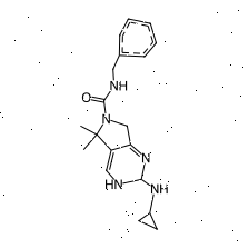 CC1(C)C2=CNC(NC3CC3)N=C2CN1C(=O)NCc1ccccc1